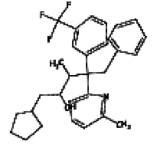 Cc1cccc(C(Cc2ccccc2)(c2cccc(C(F)(F)F)c2)C(C)C(O)CC2CCCC2)n1